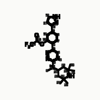 CN(c1ncc(-c2ccc(-c3cc[nH]n3)cc2OC(=O)C(F)(F)F)nn1)C1CC(C)(C)NC(C)(C)C1